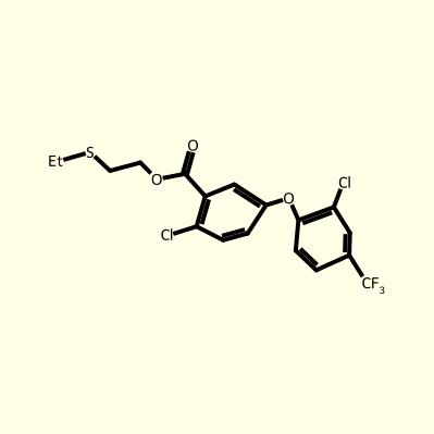 CCSCCOC(=O)c1cc(Oc2ccc(C(F)(F)F)cc2Cl)ccc1Cl